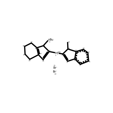 CCCCC1[C]([Hf+2][C]2=Cc3ccccc3C2C)=CC2=C1CCCC2.[Br-].[Br-]